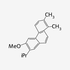 COc1cc2c(ccc3c(C)c(C)ccc32)cc1C(C)C